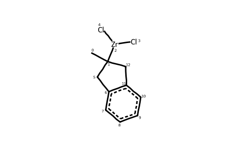 C[C]1([Zr]([Cl])[Cl])Cc2ccccc2C1